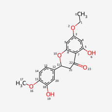 CCOc1cc(O)c2c(c1)OC(c1ccc(OC)c(O)c1)CC2=O